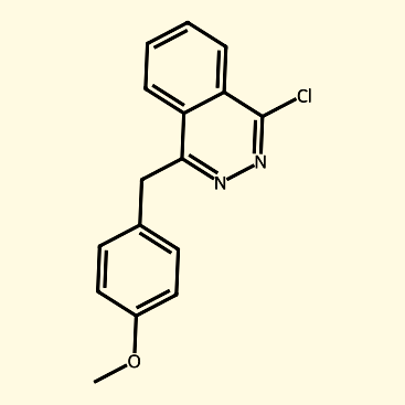 COc1ccc(Cc2nnc(Cl)c3ccccc23)cc1